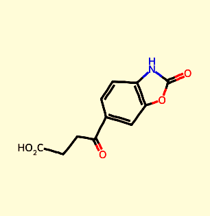 O=C(O)CCC(=O)c1ccc2[nH]c(=O)oc2c1